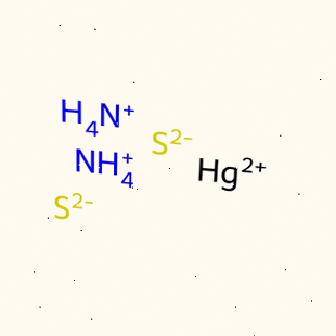 [Hg+2].[NH4+].[NH4+].[S-2].[S-2]